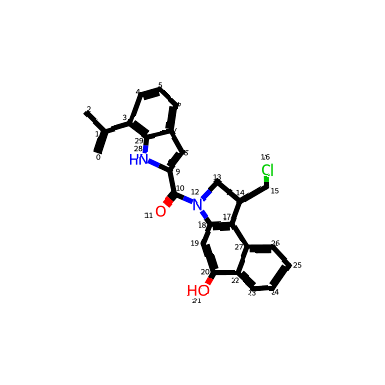 C=C(C)c1cccc2cc(C(=O)N3CC(CCl)c4c3cc(O)c3ccccc43)[nH]c12